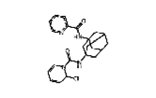 O=C(NC12CC3CC(C1)CC(NC(=O)N1C=CC=CC1Cl)(C3)C2)c1ccccn1